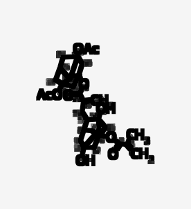 C=C(C)C(=O)OC12CC3CC(O)(C1)CC(O)(C2)C3CC(=C)C(=O)OC12CC3CC(OC(C)=O)(CC(OC(C)=O)(C3)C1)C2